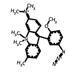 COc1ccc(N=[N+]=[N-])cc1C1=C2C=CC(=[N+](C)C)C=C2[Si](C)(C)c2cc(C)ccc21